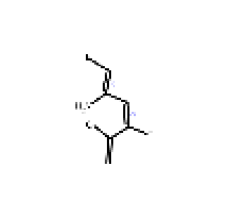 C=C(Cl)/C(F)=C\C(N)=C\I